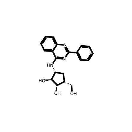 OC[C@H]1C[C@@H](Nc2nc(-c3ccccc3)nc3ccccc23)[C@H](O)[C@@H]1O